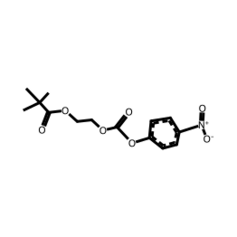 CC(C)(C)C(=O)OCCOC(=O)Oc1ccc([N+](=O)[O-])cc1